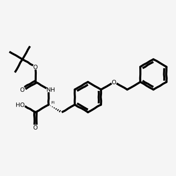 CC(C)(C)OC(=O)N[C@H](Cc1ccc(OCc2ccccc2)cc1)C(=O)O